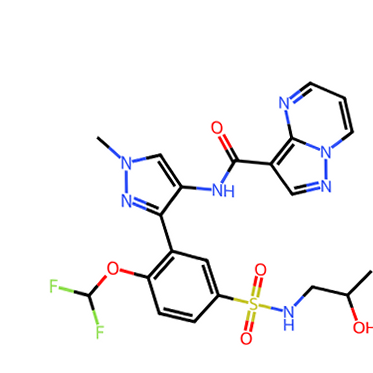 CC(O)CNS(=O)(=O)c1ccc(OC(F)F)c(-c2nn(C)cc2NC(=O)c2cnn3cccnc23)c1